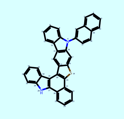 c1ccc2cc(-n3c4ccccc4c4cc5c(cc43)sc3c4ccccc4c4[nH]c6ccccc6c4c53)ccc2c1